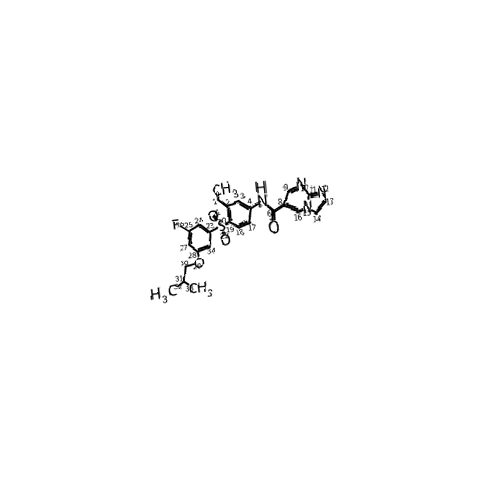 CCc1cc(NC(=O)c2cnc3nccn3c2)ccc1S(=O)(=O)c1cc(F)cc(OCC(C)C)c1